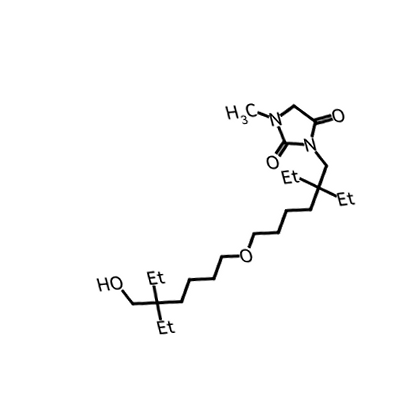 CCC(CC)(CO)CCCCOCCCCC(CC)(CC)CN1C(=O)CN(C)C1=O